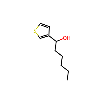 CCCCCC(O)c1ccsc1